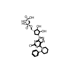 O=P(O)(O)CP(=O)(O)OC[C@H]1C[C@@H](n2nnc3c(N4CCCC[C@H]4c4ccccc4)nc(Cl)nc32)[C@H](O)[C@@H]1O